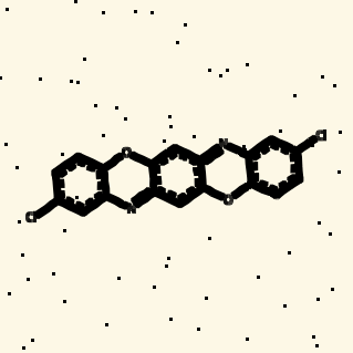 Clc1ccc2c(c1)N=c1cc3c(cc1O2)=Nc1cc(Cl)ccc1O3